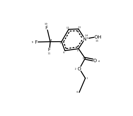 CCOC(=O)c1cc(C(F)(F)F)cc[n+]1O